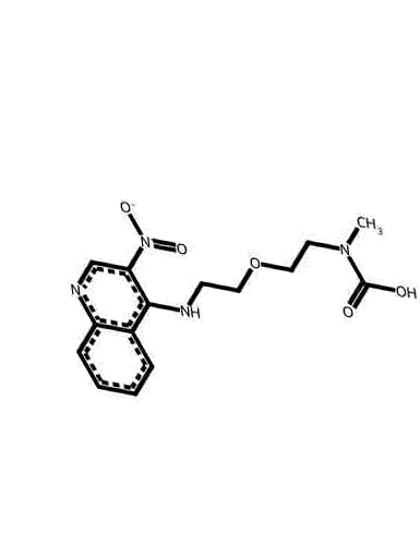 CN(CCOCCNc1c([N+](=O)[O-])cnc2ccccc12)C(=O)O